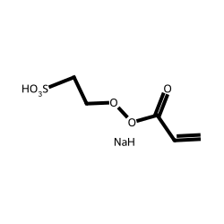 C=CC(=O)OOCCS(=O)(=O)O.[NaH]